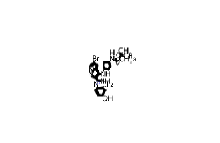 CC(C)(C)OC(=O)N[C@H]1CC[C@H](Nc2c(/C(N)=N/c3ccc(O)cc3Cl)cnn3cc(Br)cc23)CC1